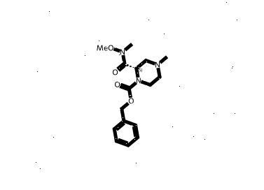 CON(C)C(=O)[C@@H]1CN(C)CCN1C(=O)OCc1ccccc1